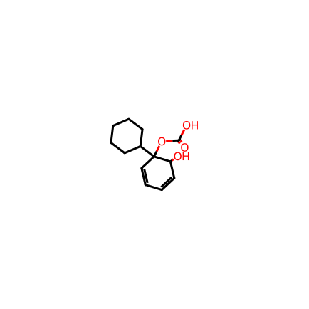 O=C(O)OC1(C2CCCCC2)C=CC=CC1O